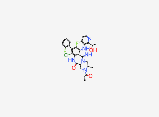 C=CC(=O)N1CC2C(=O)Nc3c(Cl)c(-c4ccccc4F)c(F)c(Nc4c(C)ccnc4C(C)O)c3C(=N)N2CC1C